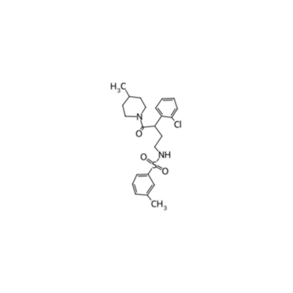 Cc1cccc(S(=O)(=O)NCCC(C(=O)N2CCC(C)CC2)c2ccccc2Cl)c1